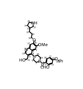 COc1cc2c(N3CCN(N(C=O)c4ccc(OC(C)C)cc4)CC3)c(CO)cnc2cc1OCCCC1CCNC1